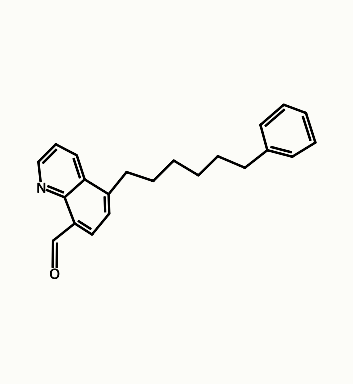 O=Cc1ccc(CCCCCCc2ccccc2)c2cccnc12